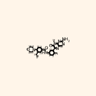 Cc1ccc(NC(=O)c2ccc(N3CCOCC3)c(CF)c2)cc1-c1nc2cnc(N)nc2n(C)c1=O